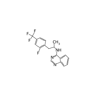 CC(Cc1ccc(C(F)(F)F)cc1F)Nc1ncnc2ccccc12